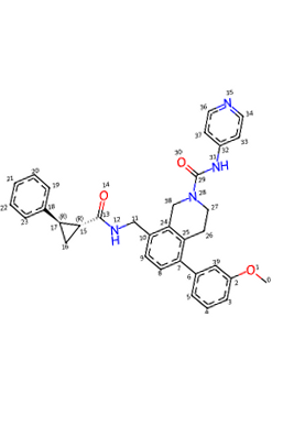 COc1cccc(-c2ccc(CNC(=O)[C@@H]3C[C@H]3c3ccccc3)c3c2CCN(C(=O)Nc2ccncc2)C3)c1